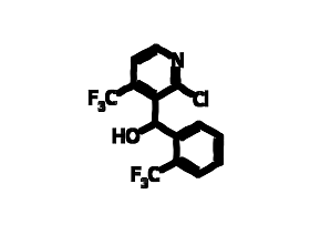 OC(c1ccccc1C(F)(F)F)c1c(C(F)(F)F)ccnc1Cl